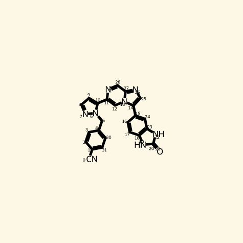 N#Cc1ccc(Cn2nccc2-c2cn3c(-c4ccc5[nH]c(=O)[nH]c5c4)cnc3cn2)cc1